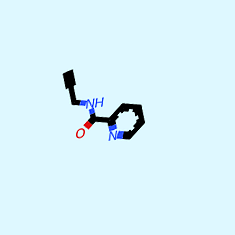 C#CCNC(=O)c1ccccn1